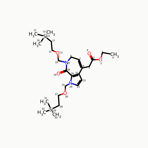 CCOC(=O)CC1=CCN(COCC[Si](C)(C)C)C(=O)c2c1ccn2COCC[Si](C)(C)C